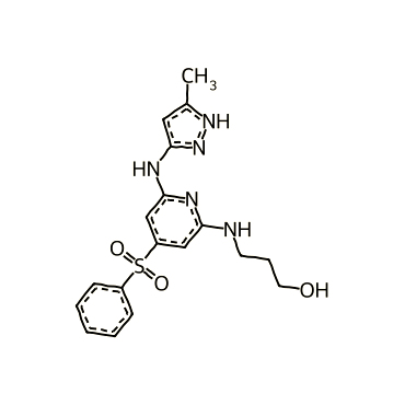 Cc1cc(Nc2cc(S(=O)(=O)c3ccccc3)cc(NCCCO)n2)n[nH]1